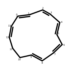 [C]1=C/C=C\C=C\C=C/C=C/CC\C=C/1